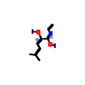 C=C/N=C(OI)\C(=C/C=C(C)C)OI